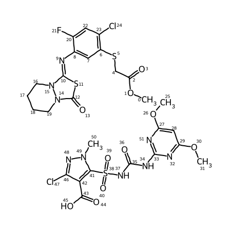 COC(=O)CSc1cc(/N=c2\sc(=O)n3n2CCCC3)c(F)cc1Cl.COc1cc(OC)nc(NC(=O)NS(=O)(=O)c2c(C(=O)O)c(Cl)nn2C)n1